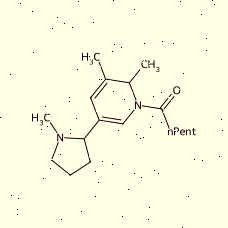 CCCCCC(=O)N1C=C(C2CCCN2C)C=C(C)C1C